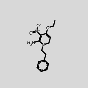 CCOC1=CCN(CCc2ccccc2)C(N)=C1[N+](=O)[O-]